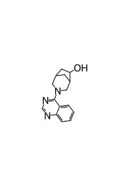 OC1CC2CC1CN(c1ncnc3ccccc13)C2